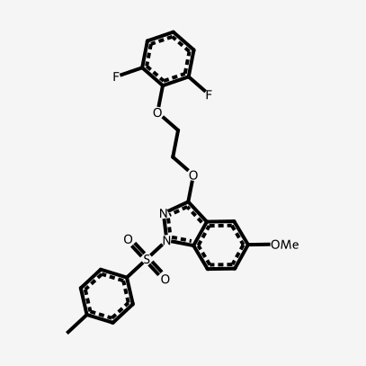 COc1ccc2c(c1)c(OCCOc1c(F)cccc1F)nn2S(=O)(=O)c1ccc(C)cc1